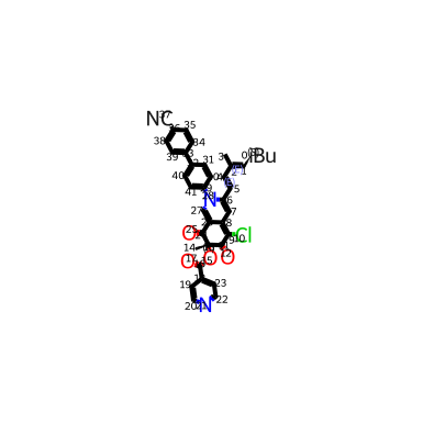 CC[C@H](C)/C=C(C)/C=C/C1=CC2=C(Cl)C(=O)[C@](C)(OC(=O)c3ccncc3)C(=O)C2=CN1c1ccc(-c2ccc(C#N)cc2)cc1